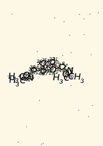 CC1(C)CN=C(c2cccc(-c3ccc4c(c3)C3(c5ccccc5-c5ccccc53)c3cc(-c5cccc(C6=NCC(C)(C)O6)c5)ccc3-4)c2)O1